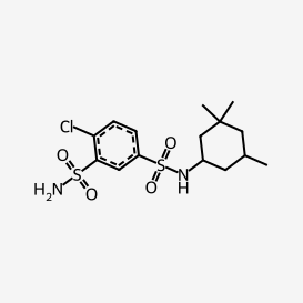 CC1CC(NS(=O)(=O)c2ccc(Cl)c(S(N)(=O)=O)c2)CC(C)(C)C1